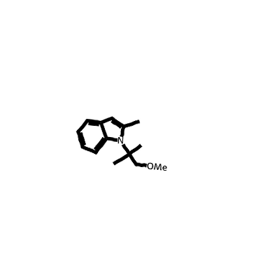 COCC(C)(C)n1c(C)cc2ccccc21